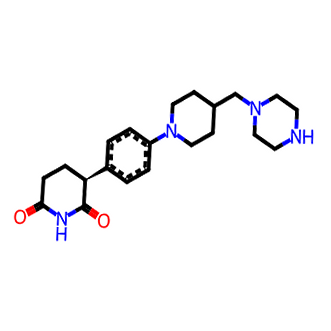 O=C1CC[C@@H](c2ccc(N3CCC(CN4CCNCC4)CC3)cc2)C(=O)N1